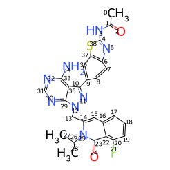 CC(=O)Nc1nc2ccc(-c3nn(Cc4cc5cccc(F)c5c(=O)n4C(C)C)c4ncnc(N)c34)cc2s1